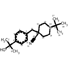 CC(C)(O)c1ccc(CC2(C#N)CCN(C(C)(C)C)CC2)cc1